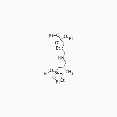 CCO[Si](CCCNC[C@H](C)C[Si](OCC)(OCC)OCC)(OCC)OCC